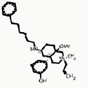 C=CC[N@@+]1(C)CC[C@@]2(c3cccc(O)c3)C[C@@H](NCCCCCCc3ccccc3)CCC2(OC)C1